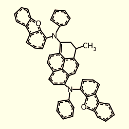 CC1CC(N(c2ccccc2)c2cccc3c2oc2ccccc23)=c2ccc3ccc(N(c4ccccc4)c4cccc5c4oc4ccccc45)c4ccc1c2c34